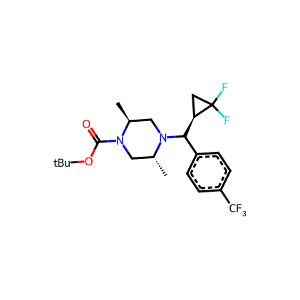 C[C@@H]1CN(C(=O)OC(C)(C)C)[C@@H](C)CN1C(c1ccc(C(F)(F)F)cc1)[C@H]1CC1(F)F